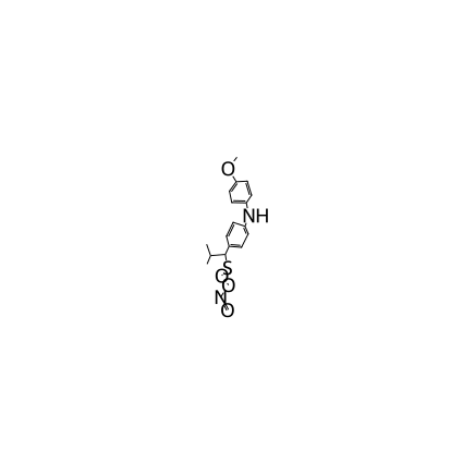 COc1ccc(Nc2ccc(C(SOON=O)C(C)C)cc2)cc1